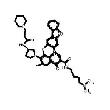 CN(C)CCCCNC(=O)c1cn2c3c(c(N4CC[C@@H](NC(=O)CCN5CCCCC5)C4)c(F)cc3c1=O)Oc1cc3c(cc1-2)oc1ccccc13